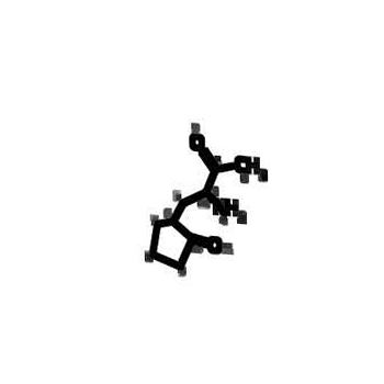 CC(=O)[C@@H](N)CC1CCCC1=O